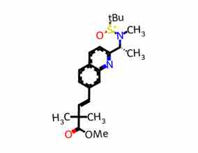 COC(=O)C(C)(C)/C=C/c1ccc2ccc([C@@H](C)N(C)[S+]([O-])C(C)(C)C)nc2c1